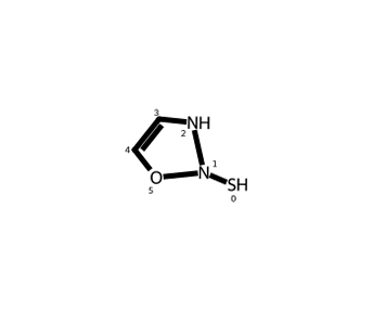 SN1NC=CO1